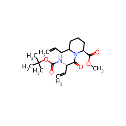 C=CCC1CCC[C@@H](C(=O)OC)N1C(=O)[C@H](C=C)NC(=O)OC(C)(C)C